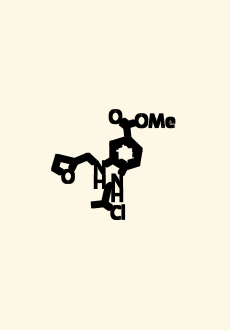 COC(=O)c1ccc(NCC(C)Cl)c(NCC2CCO2)c1